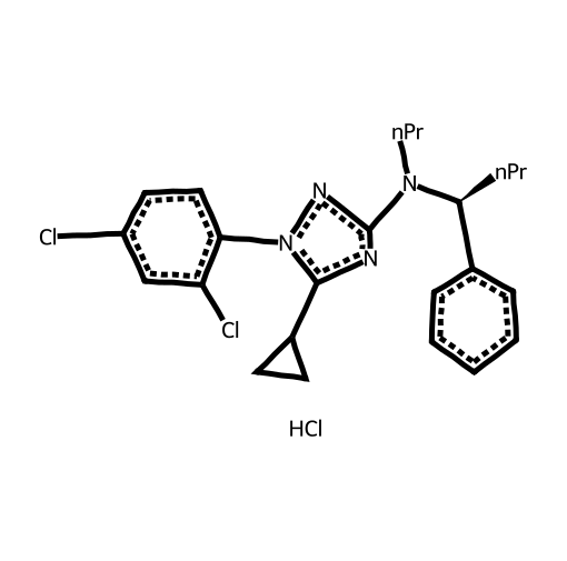 CCC[C@@H](c1ccccc1)N(CCC)c1nc(C2CC2)n(-c2ccc(Cl)cc2Cl)n1.Cl